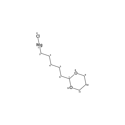 [Cl][Mg][CH2]CCCCC1OCCCO1